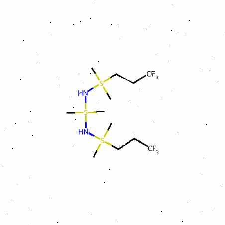 CS(C)(CCC(F)(F)F)NS(C)(C)NS(C)(C)CCC(F)(F)F